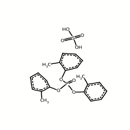 Cc1ccccc1OP(=O)(Oc1ccccc1C)Oc1ccccc1C.O=S(=O)(O)O